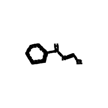 CC/C=N/Nc1ccccc1